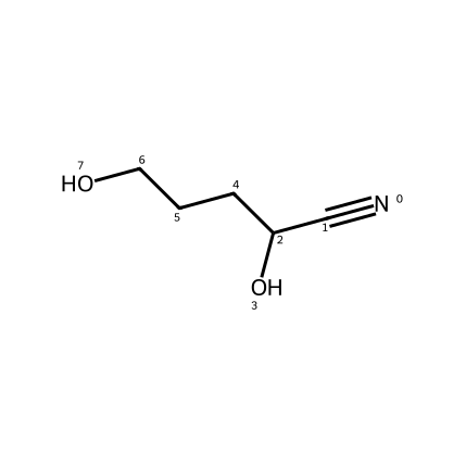 N#CC(O)CCCO